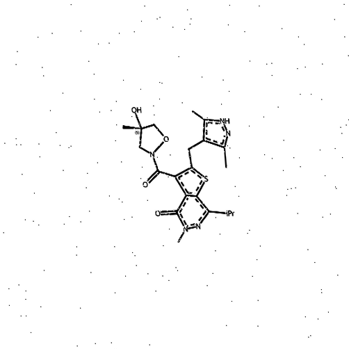 Cc1n[nH]c(C)c1Cc1sc2c(C(C)C)nn(C)c(=O)c2c1C(=O)N1C[C@](C)(O)CO1